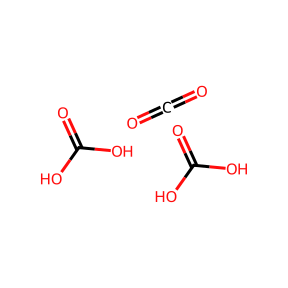 O=C(O)O.O=C(O)O.O=C=O